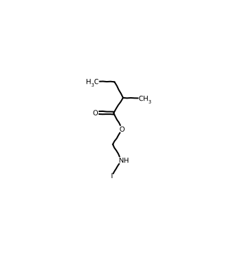 CCC(C)C(=O)OCNI